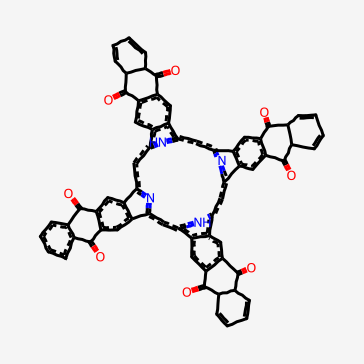 O=C1c2ccccc2C(=O)c2cc3c(cc21)-c1cc2[nH]c(cc4nc(cc5[nH]c(cc-3n1)c1cc3c(cc51)C(=O)C1C=CC=CC1C3=O)-c1cc3c(cc1-4)C(=O)C1C=CC=CC1C3=O)c1cc3c(cc21)C(=O)C1C=CC=CC1C3=O